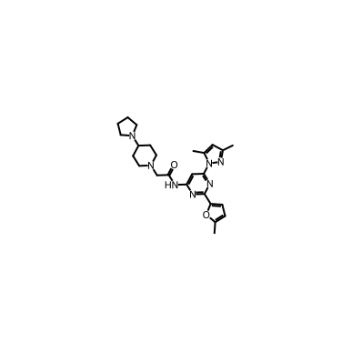 Cc1cc(C)n(-c2cc(NC(=O)CN3CCC(N4CCCC4)CC3)nc(-c3ccc(C)o3)n2)n1